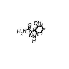 NC(=O)c1n[nH]c2cccc(O)c12